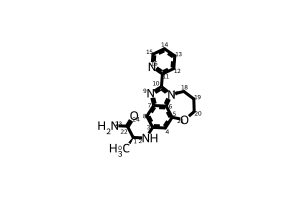 C[C@H](Nc1cc2c3c(c1)nc(-c1ccccn1)n3CCCO2)C(N)=O